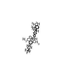 [2H]c1ccc(C([2H])([2H])N2CC3(CC(NC(=O)N4[C@H](C)CN(c5ncc(C(F)(F)F)cn5)C[C@@H]4C)C3)C2)c([2H])c1[2H]